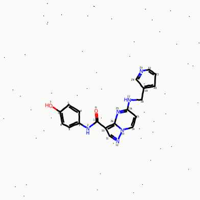 O=C(Nc1ccc(O)cc1)c1cnn2ccc(NCc3cccnc3)nc12